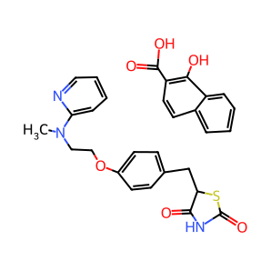 CN(CCOc1ccc(CC2SC(=O)NC2=O)cc1)c1ccccn1.O=C(O)c1ccc2ccccc2c1O